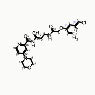 C=C/C(=C\C(F)=C\Cl)OCC(=O)NCCC(=C)NC(=O)c1cc(N2CCOCC2)ccn1